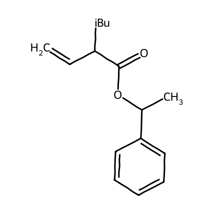 C=CC(C(=O)OC(C)c1ccccc1)C(C)CC